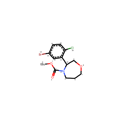 CC(C)(C)OC(=O)N1CCCOCC1c1cc(Br)ccc1Cl